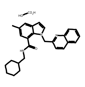 Cc1cc(C(=O)NCC2CCCCC2)c2c(ccn2Cc2ccc3ccccc3n2)c1.O=C(O)O